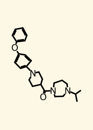 CC(C)N1CCCN(C(=O)C2CCN(c3ccc(Oc4ccccc4)cc3)CC2)CC1